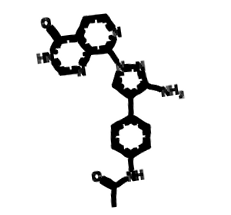 CC(=O)Nc1ccc(-c2cn(-c3nccc4c(=O)[nH]cnc34)nc2N)cc1